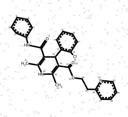 CC1=C(C(=O)Nc2ccccc2)C(c2ccccc2Cl)C(C(=O)OCCc2ccccn2)=C(C)N1